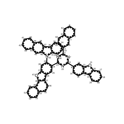 c1ccc2cc(-c3nc(-c4ccc5c(c4)oc4ccccc45)nc(-c4cc5c(cc4-n4c6ccccc6c6cc7ccccc7cc64)oc4c6ccccc6ccc54)n3)ccc2c1